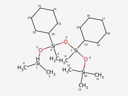 C[SiH](C)O[Si](C)(O[Si](C)(O[Si](C)(C)C)C1CCCCC1)C1CCCCC1